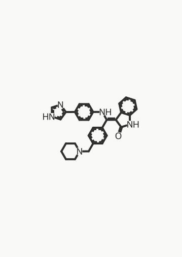 O=C1Nc2ccccc2C1=C(Nc1ccc(-c2c[nH]cn2)cc1)c1ccc(CN2CCCCC2)cc1